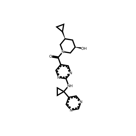 O=C(c1cnc(NC2(c3cncnc3)CC2)nc1)N1C[C@H](O)C[C@H](C2CC2)C1